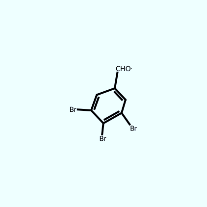 O=[C]c1cc(Br)c(Br)c(Br)c1